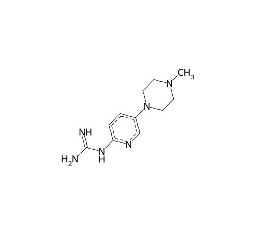 CN1CCN(c2ccc(NC(=N)N)nc2)CC1